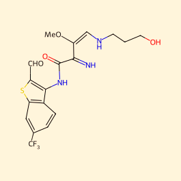 CO/C(=C/NCCCO)C(=N)C(=O)Nc1c(C=O)sc2cc(C(F)(F)F)ccc12